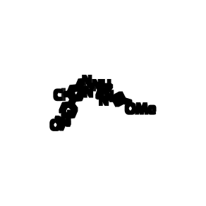 COCC12CC(n3ncc(Nc4ncc5cc(Cl)c(C6CCN(C7(C)COC7)CC6)cc5n4)c3C)(C1)C2